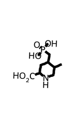 CC1CNC(C(=O)O)CC1CP(=O)(O)O